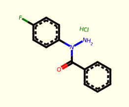 Cl.NN(C(=O)c1ccccc1)c1ccc(F)cc1